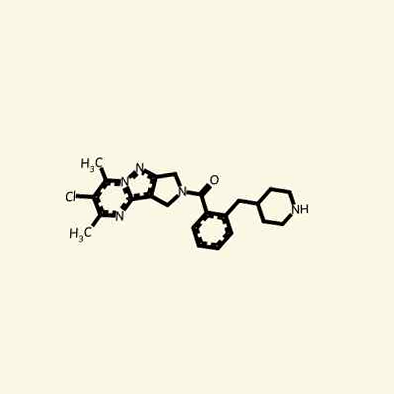 Cc1nc2c3c(nn2c(C)c1Cl)CN(C(=O)c1ccccc1CC1CCNCC1)C3